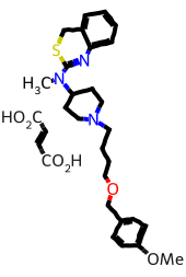 COc1ccc(COCCCCN2CCC(N(C)C3=Nc4ccccc4CS3)CC2)cc1.O=C(O)C=CC(=O)O